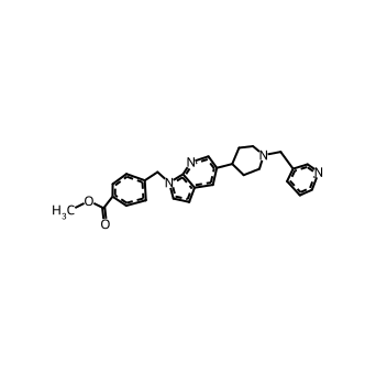 COC(=O)c1ccc(Cn2ccc3cc(C4CCN(Cc5cccnc5)CC4)cnc32)cc1